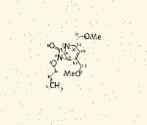 C=CCON1C(=O)N2CC1C(COC)=C[C@H]2COC